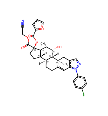 C[C@]12Cc3cnn(-c4ccc(F)cc4)c3C=C1CC[C@@H]1[C@@H]2[C@@H](O)C[C@@]2(C)[C@H]1CC[C@]2(OC(=O)c1ccco1)C(=O)OCC#N